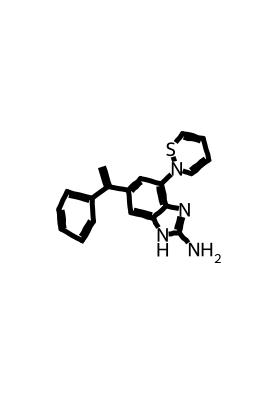 C=C(c1ccccc1)c1cc(N2C=CC=CS2)c2nc(N)[nH]c2c1